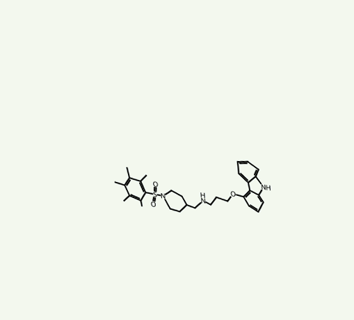 Cc1c(C)c(C)c(S(=O)(=O)N2CCC(CNCCCOc3cccc4[nH]c5ccccc5c34)CC2)c(C)c1C